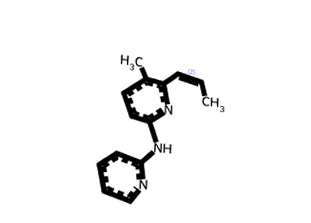 C/C=C\c1nc(Nc2ccccn2)ccc1C